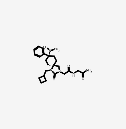 CN(C)[C@]1(c2ccccc2)CC[C@]2(CC1)CN(CC(=O)NCC(N)=O)C(=O)N2CC1CCC1